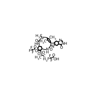 Cc1cc2cc(C)c1CN(C)CC(=O)Nc1ccc(S(=O)(=O)C(C)C)c(c1)CNC(=O)C2Nc1ccc2nc[nH]c(=O)c2c1.O=C(O)C(F)(F)F.O=C(O)C(F)(F)F